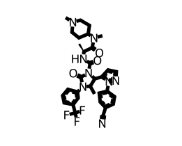 CC1C(c2ccnn2-c2ccc(C#N)cc2)N(C(=O)N[C@@H](C)C(=O)N(C)C2CCN(C)CC2)C(=O)N1c1cccc(C(F)(F)F)c1